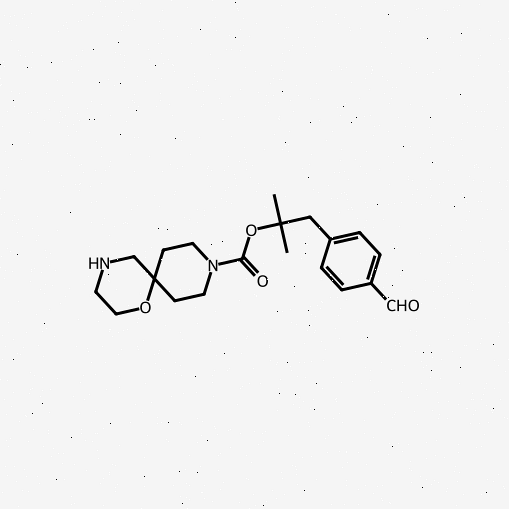 CC(C)(Cc1ccc(C=O)cc1)OC(=O)N1CCC2(CC1)CNCCO2